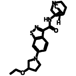 CCOC1CCN(c2ccc3c(C(=O)N[C@@H]4CN5CCC4CC5)nsc3c2)C1